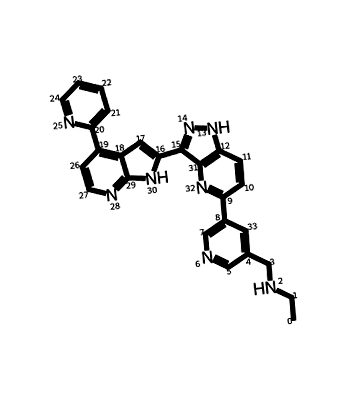 CCNCc1cncc(-c2ccc3[nH]nc(-c4cc5c(-c6ccccn6)ccnc5[nH]4)c3n2)c1